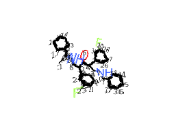 C[C@H](NCC(C(=O)C(CN[C@@H](C)c1ccccc1)c1cccc(F)c1)c1cccc(F)c1)c1ccccc1